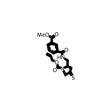 C=CCOC(=O)N1CC(=S)CC1CNC(=O)c1cccc(C(=O)OC)c1